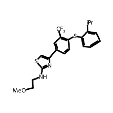 COCCNc1nc(-c2ccc(Sc3ccccc3C(C)C)c(C(F)(F)F)c2)cs1